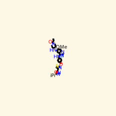 C=CC(=O)N1CCC(Nc2cc3c(Nc4ccc(Oc5nc(-c6nnc(C(C)C)o6)cs5)cc4F)ncnc3cc2OC)CC1